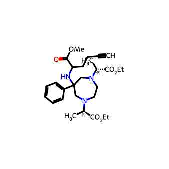 C#CCCC(NC1(c2ccccc2)CN([C@H](C)C(=O)OCC)CCN([C@H](C)C(=O)OCC)C1)C(=O)OC